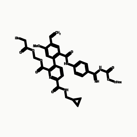 C=Cc1cc(C(=O)Nc2ccc(C(=N)NC(=O)OCCCCCC)cc2)c(-c2ccc(C(=O)NCC3CC3)nc2C(=O)OCOC(=O)CC(C)CC)cc1OC